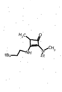 CCN(C)C1=C(NCCC(C)(C)C)C(C)C1=O